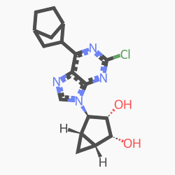 O[C@@H]1[C@H](O)[C@@H]2C[C@@H]2[C@H]1n1cnc2c(C3CC4CCC3C4)nc(Cl)nc21